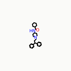 O=C(NC1CCN(CCC(c2ccccc2)c2ccccc2)CC1)C1CCCCC1